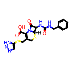 O=C(NCc1ccccc1)NC1C(=O)N2C(C(=O)O)=C(CSc3cnn[nH]3)CS[C@H]12